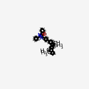 CC1(C)c2ccccc2-c2cc3c(cc21)-c1cc(-c2ccc(-c4nc(-c5ccccc5)nc5c4OC4CC=CC=C54)cc2)ccc1C3(C)C